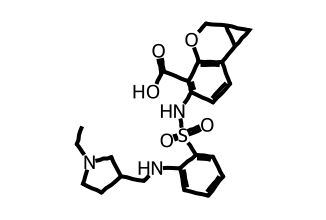 CCN1CCC(CNc2ccccc2S(=O)(=O)Nc2ccc3c(c2C(=O)O)OCC2CC32)C1